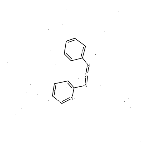 C(=Nc1ccccc1)=Nc1ccccn1